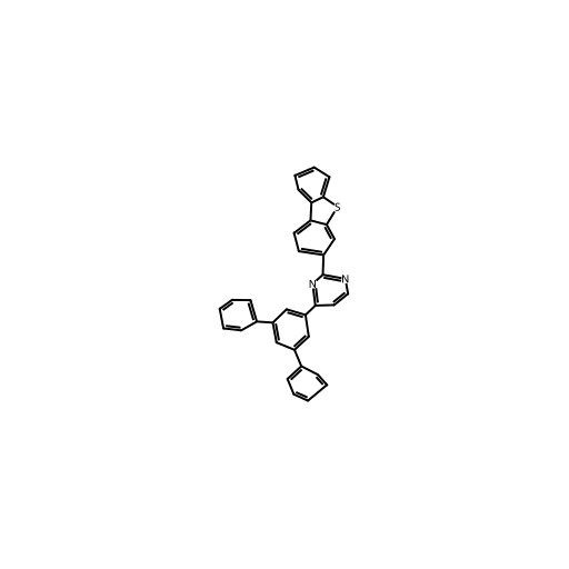 c1ccc(-c2cc(-c3ccccc3)cc(-c3ccnc(-c4ccc5c(c4)sc4ccccc45)n3)c2)cc1